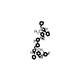 Cc1cc2c(cnn2-c2ccc(F)cc2)cc1[C@@]12CN(Cc3cccc(-c4cc(-n5ncc6cc([C@]78CN(Cc9ccccc9)C[C@H]7[C@@H]8c7ccccc7)c(C)cc65)ccc4F)c3)C[C@@H]1[C@H]2c1ccccc1